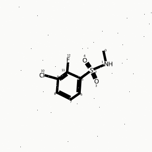 CNS(=O)(=O)c1cccc(Cl)c1F